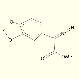 COC(=O)C(=[N+]=[N-])c1ccc2c(c1)OCO2